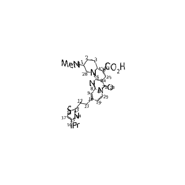 CNC1CCCN(c2nc3cc(CCc4nc(C(C)C)cs4)ccn3c(=O)c2/C=C/C(=O)O)C1